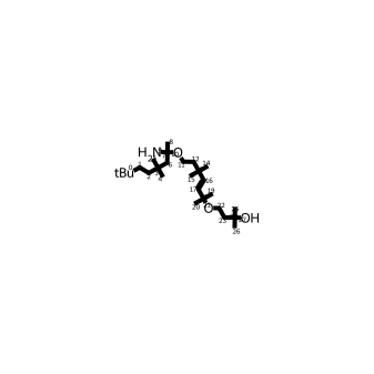 CC(C)(C)CCC(C)(C)CC(C)(N)OCCC(C)(C)/C=C/C(C)(C)OCCC(C)(C)O